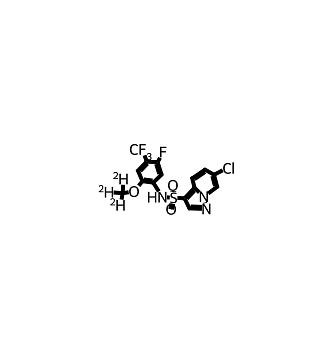 [2H]C([2H])([2H])Oc1cc(C(F)(F)F)c(F)cc1NS(=O)(=O)c1cnn2cc(Cl)ccc12